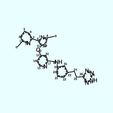 Cc1cccc(-c2nc(C)sc2Oc2ccnc(Nc3cccc(CCc4nn[nH]n4)c3)c2)n1